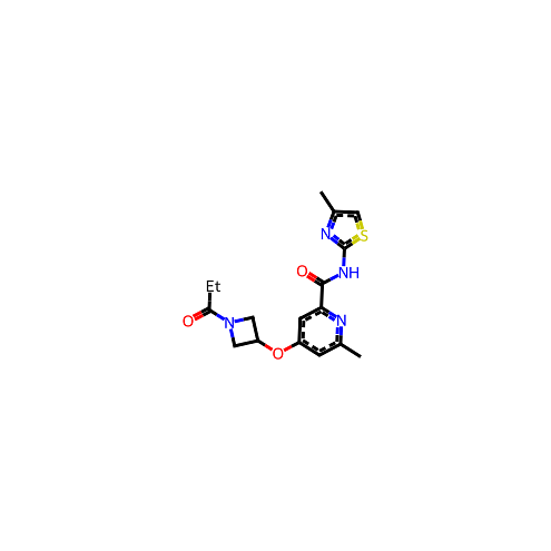 CCC(=O)N1CC(Oc2cc(C)nc(C(=O)Nc3nc(C)cs3)c2)C1